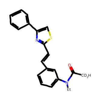 CCN(C(=O)C(=O)O)c1cccc(C=Cc2nc(-c3ccccc3)cs2)c1